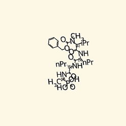 CCC[C@H](NC(=O)[C@H](CCC)NC(=O)[C@H](C(C)C)N(C)C(=O)OCc1ccccc1)C(=O)N[C@@H](C)P(=O)(O)O